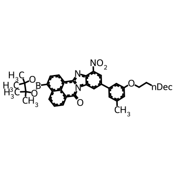 CCCCCCCCCCCCOc1cc(C)cc(-c2cc([N+](=O)[O-])c3nc4c5ccc(B6OC(C)(C)C(C)(C)O6)c6cccc(c(=O)n4c3c2)c65)c1